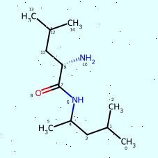 CC(C)CC(C)NC(=O)[C@@H](N)CC(C)C